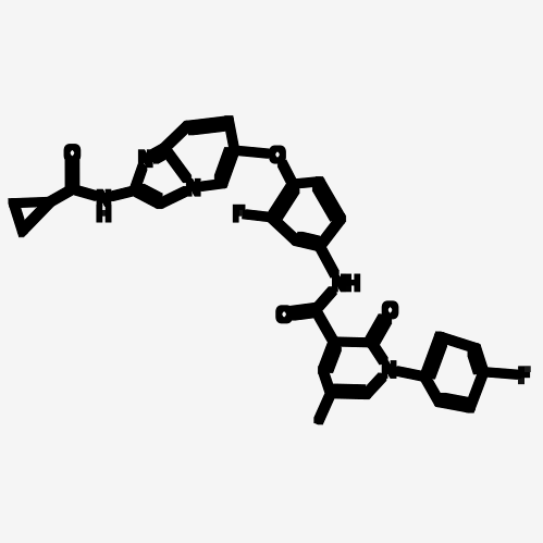 Cc1cc(C(=O)Nc2ccc(Oc3ccc4nc(NC(=O)C5CC5)cn4c3)c(F)c2)c(=O)n(-c2ccc(F)cc2)c1